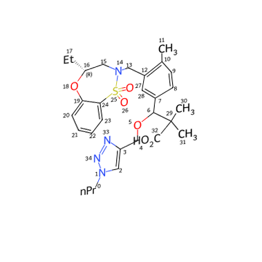 CCCn1cc(COC(c2ccc(C)c(CN3C[C@@H](CC)Oc4ccccc4S3(=O)=O)c2)C(C)(C)C(=O)O)nn1